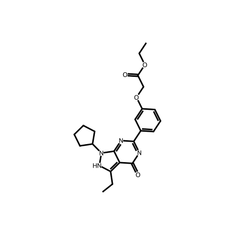 CCOC(=O)COc1cccc(-c2nc3n(C4CCCC4)[nH]c(CC)c-3c(=O)n2)c1